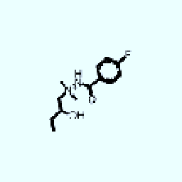 CCC(O)C[N+](C)(C)NC(=O)c1ccc(F)cc1